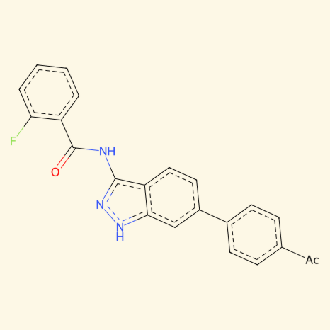 CC(=O)c1ccc(-c2ccc3c(NC(=O)c4ccccc4F)n[nH]c3c2)cc1